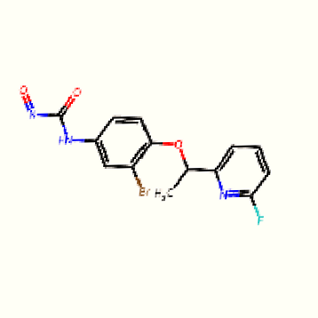 CC(Oc1ccc(NC(=O)N=O)cc1Br)c1cccc(F)n1